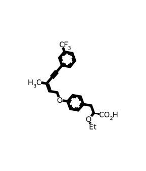 CCO[C@@H](Cc1ccc(OCC=C(C)C#Cc2cccc(C(F)(F)F)c2)cc1)C(=O)O